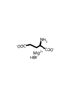 Br.NC(CCC(=O)[O-])C(=O)[O-].[Mg+2]